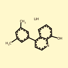 Cc1cc(C)cc(-c2ccnc3c(O)cccc23)c1.[LiH]